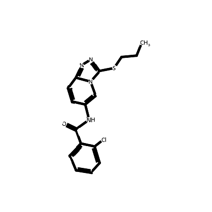 CCCSc1nnc2ccc(NC(=O)c3ccccc3Cl)cn12